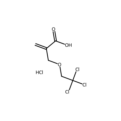 C=C(COCC(Cl)(Cl)Cl)C(=O)O.Cl